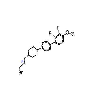 CCOc1ccc(-c2ccc(C3CCC(/C=C/CBr)CC3)cc2)c(F)c1F